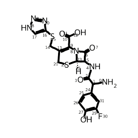 NC(C(=O)NC1C(=O)N2C(C(=O)O)=C(CSc3c[nH]nn3)CS[C@H]12)c1ccc(O)c(F)c1